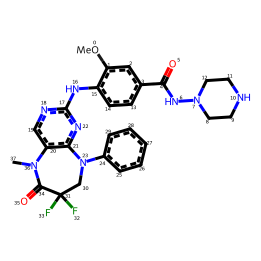 COc1cc(C(=O)NN2CCNCC2)ccc1Nc1ncc2c(n1)N(c1ccccc1)CC(F)(F)C(=O)N2C